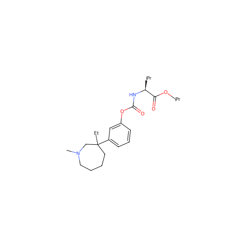 CCC1(c2cccc(OC(=O)N[C@H](C(=O)OC(C)C)C(C)C)c2)CCCCN(C)C1